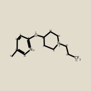 Cc1ccc(OC2CCN(CCC(F)(F)F)CC2)nc1